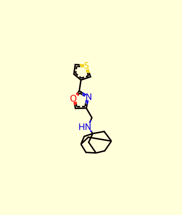 c1cc(-c2nc(CNC34CC5CC(CC(C5)C3)C4)co2)cs1